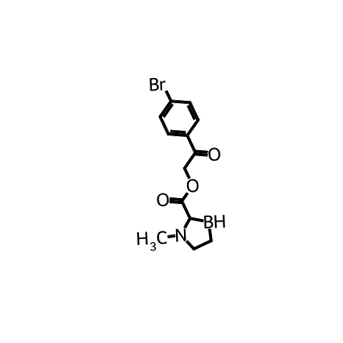 CN1CCBC1C(=O)OCC(=O)c1ccc(Br)cc1